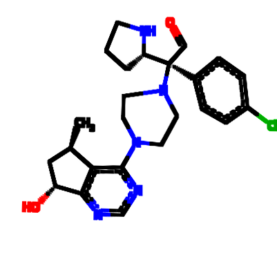 C[C@@H]1C[C@@H](O)c2ncnc(N3CCN([C@@](C=O)(c4ccc(Cl)cc4)[C@@H]4CCCN4)CC3)c21